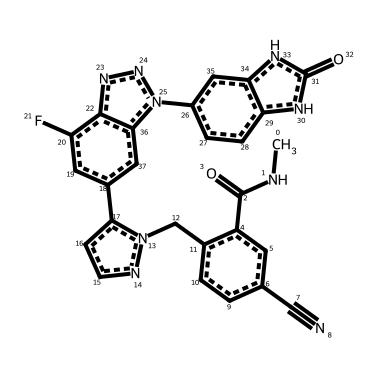 CNC(=O)c1cc(C#N)ccc1Cn1nccc1-c1cc(F)c2nnn(-c3ccc4[nH]c(=O)[nH]c4c3)c2c1